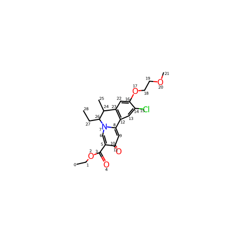 CCOC(=O)c1cn2c(cc1=O)-c1cc(Cl)c(OCCOC)cc1C(C)C2CC